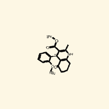 CCCCOc1ccccc1[C@H]1C(C(=O)OC(C)C)=C(C)NC2=C1C(=O)CCC2